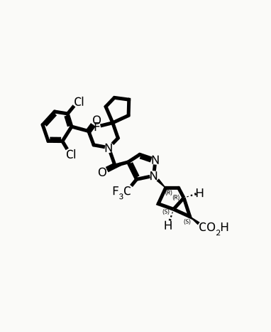 O=C(CN(CC1(F)CCCC1)C(=O)c1cnn([C@H]2C[C@@H]3[C@H](C2)[C@@H]3C(=O)O)c1C(F)(F)F)c1c(Cl)cccc1Cl